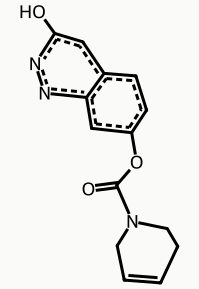 O=C(Oc1ccc2cc(O)nnc2c1)N1CC=CCC1